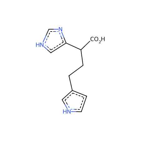 O=C(O)C(CCc1cc[nH]c1)c1c[nH]cn1